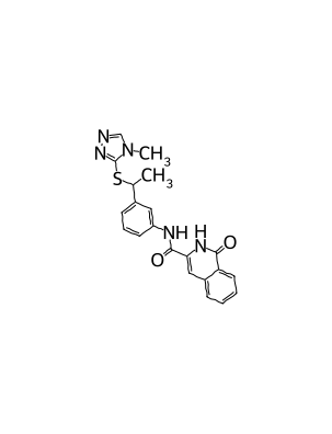 CC(Sc1nncn1C)c1cccc(NC(=O)c2cc3ccccc3c(=O)[nH]2)c1